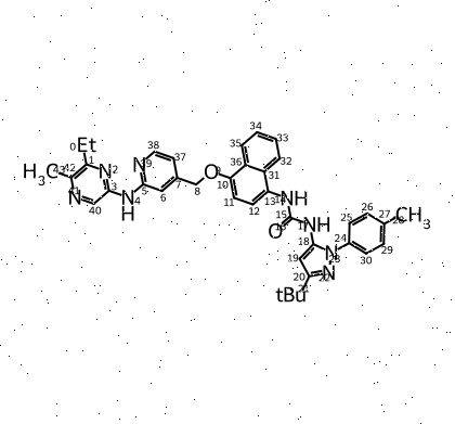 CCc1nc(Nc2cc(COc3ccc(NC(=O)Nc4cc(C(C)(C)C)nn4-c4ccc(C)cc4)c4ccccc34)ccn2)cnc1C